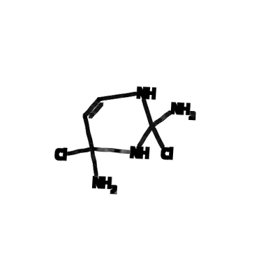 NC1(Cl)C=CNC(N)(Cl)N1